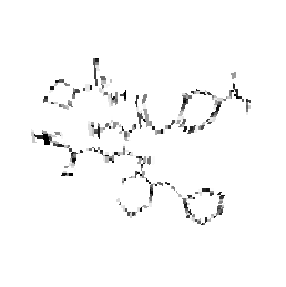 C[C@@H](Nc1nc(C(=O)O)nc(NN2CCCCC2Cc2ccccc2)c1NCc1ccc(N(F)F)cc1)C1CCC1